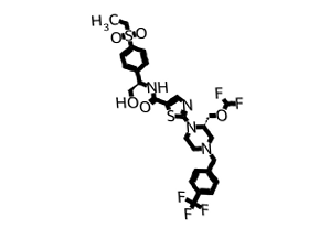 CCS(=O)(=O)c1ccc([C@H](CO)NC(=O)c2cnc(N3CCN(Cc4ccc(C(F)(F)F)cc4)C[C@H]3COC(F)F)s2)cc1